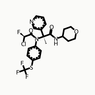 C[C@@](C(=O)NC1CCOCC1)(c1cccnc1)N(C(=O)[C@H](F)Cl)c1ccc(SC(F)(F)F)cc1